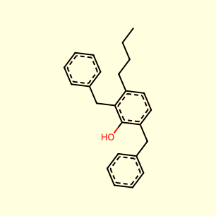 CCCCc1ccc(Cc2ccccc2)c(O)c1Cc1ccccc1